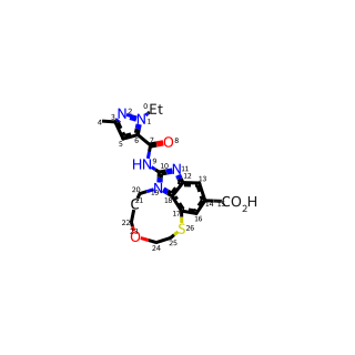 CCn1nc(C)cc1C(=O)Nc1nc2cc(C(=O)O)cc3c2n1CCCOCCS3